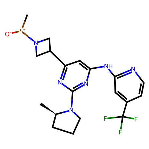 C[C@@H]1CCCN1c1nc(Nc2cc(C(F)(F)F)ccn2)cc(C2CN([S+](C)[O-])C2)n1